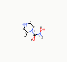 CC1CNCCN1C(=O)N(C)O